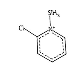 [SiH3][n+]1ccccc1Cl